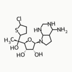 C[C@@](O)(C1CCC(Cl)S1)[C@H]1O[C@@H](N2CCC3C(N)NCNC32)[C@H](O)[C@@H]1O